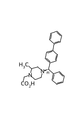 CC1CN([C@H](c2ccccc2)c2ccc(-c3ccccc3)cc2)CCN1CC(=O)O